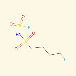 O=S(=O)(F)NS(=O)(=O)CCCCF